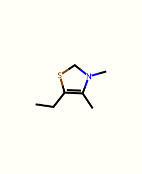 CCC1=C(C)N(C)CS1